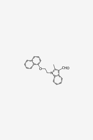 Cc1c(C=O)c2ccccc2n1CCOc1cccc2ccccc12